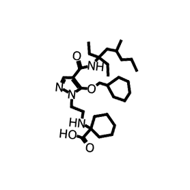 CCCC(C)CC(CC)(CC)NC(=O)c1cnn(CCNC2(C(=O)O)CCCCC2)c1OCC1CCCCC1